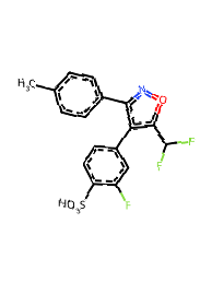 Cc1ccc(-c2noc(C(F)F)c2-c2ccc(S(=O)(=O)O)c(F)c2)cc1